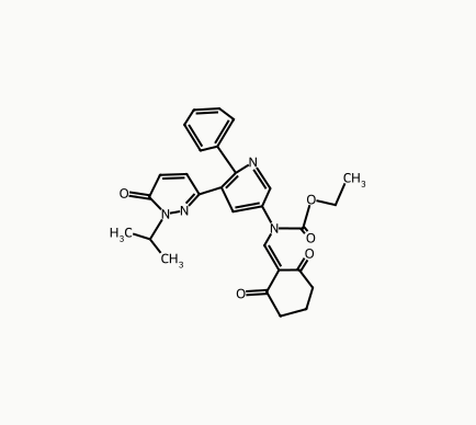 CCOC(=O)N(C=C1C(=O)CCCC1=O)c1cnc(-c2ccccc2)c(-c2ccc(=O)n(C(C)C)n2)c1